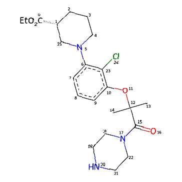 CCOC(=O)[C@@H]1CCCN(c2cccc(OC(C)(C)C(=O)N3CCNCC3)c2Cl)C1